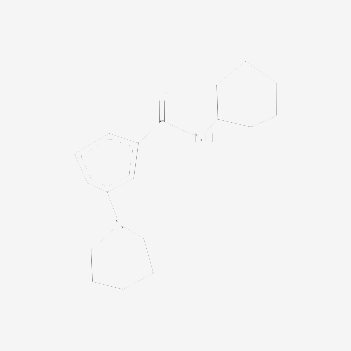 O=C(NC1CCCCC1)c1cccc(N2[CH]CCCC2)c1